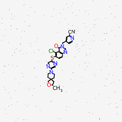 C[C@H]1CC2(CCN(c3cnc(Sc4ccc5ncn(Cc6ccnc(C#N)c6)c(=O)c5c4Cl)cn3)CC2)CO1